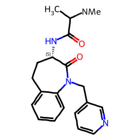 CNC(C)C(=O)N[C@H]1CCc2ccccc2N(Cc2cccnc2)C1=O